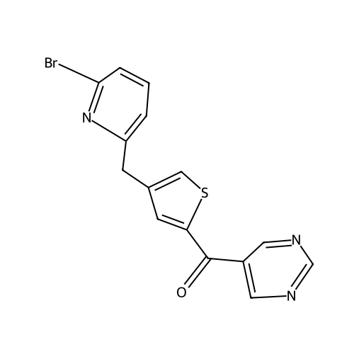 O=C(c1cncnc1)c1cc(Cc2cccc(Br)n2)cs1